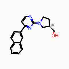 OC[C@@H]1CCN(c2nccc(-c3ccc4ccccc4c3)n2)C1